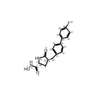 O=C1N[C@@H](C(=O)NO)C[C@@H]1Cc1ccc(-c2ccc(F)cc2)cc1